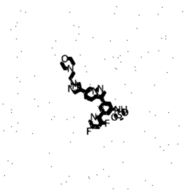 CS(=O)(=O)Nc1cc(-c2ncc(F)cc2F)cc(-c2cnn3cc(-c4cnn(CCN5CCOCC5)c4)ccc23)c1